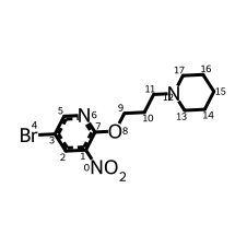 O=[N+]([O-])c1cc(Br)cnc1OCCCN1CCCCC1